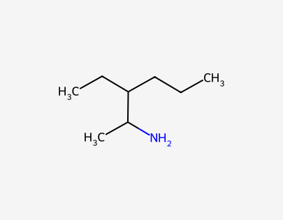 CCCC(CC)C(C)N